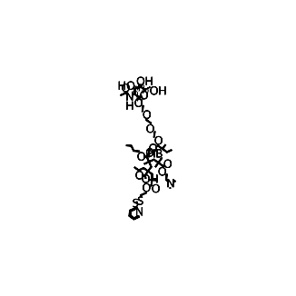 CCCCOC(=O)C(C)(CC(C)(CBC(C)(CC)C(=O)OCCOCCOCCO[C@@H]1O[C@H](CO)[C@H](O)[C@H](O)[C@H]1NC(C)=O)C(=O)OCCN(C)C)CC(CCC)(CC(C)(C)C(=O)OCCSSc1ccccn1)C(=O)O